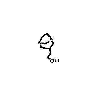 OCCC1CN2CCN(CC2)C1